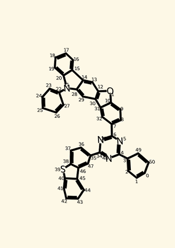 c1ccc(-c2nc(-c3ccc4oc5cc6c7ccccc7n(-c7ccccc7)c6cc5c4c3)nc(-c3ccc4sc5ccccc5c4c3)n2)cc1